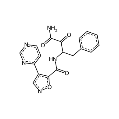 NC(=O)C(=O)C(Cc1ccccc1)NC(=O)c1oncc1-c1ccncn1